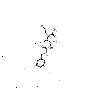 CC(=O)N(CCS)C(=O)[C@H](C)NC(=O)OCc1ccccc1